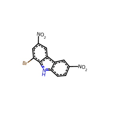 O=[N+]([O-])c1ccc2[nH]c3c(Br)cc([N+](=O)[O-])cc3c2c1